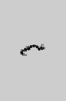 Cc1cc(-c2ccnc(Nc3ccc(N4CCC(CN5CCC(c6cccc(N7CCC(=O)NC7=O)c6)CC5)CC4)cc3)n2)ccc1CNC(=O)c1cn(C(C)(C)C)nn1